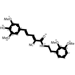 COc1cc(/C=C/C=C(\C#N)C(=O)NCCc2cccc(OC)c2OC)cc(OC)c1O